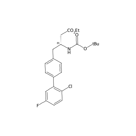 CCOC(=O)C[C@@H](Cc1ccc(-c2cc(F)ccc2Cl)cc1)NC(=O)OC(C)(C)C